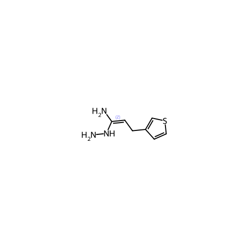 NN/C(N)=C\Cc1ccsc1